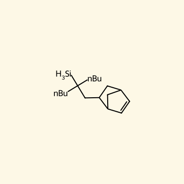 CCCCC([SiH3])(CCCC)CC1CC2C=CC1C2